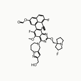 C#Cc1c(F)ccc2cc(OC=O)cc(-c3c(F)c(OC)c4c(N5CCCn6nc(CO)cc6C5)nc(OC[C@@]56CCCN5C[C@H](F)C6)nc4c3F)c12